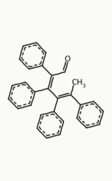 C/C(=C(\C(=C(/C=O)c1ccccc1)c1ccccc1)c1ccccc1)c1ccccc1